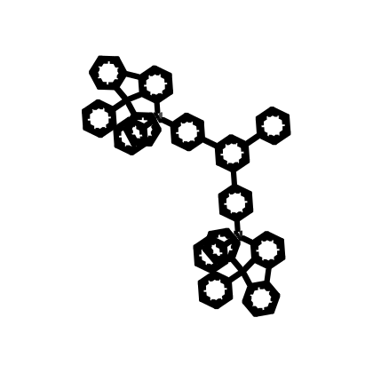 c1ccc(-c2cc(-c3ccc(N(c4ccccc4)c4cccc5c4C(c4ccccc4)(c4ccccc4)c4ccccc4-5)cc3)cc(-c3ccc(N(c4ccccc4)c4cccc5c4C(c4ccccc4)(c4ccccc4)c4ccccc4-5)cc3)c2)cc1